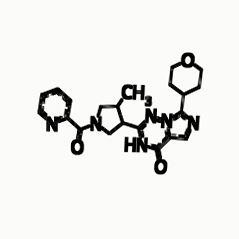 CC1CN(C(=O)c2ccccn2)CC1c1nn2c(C3CCOCC3)ncc2c(=O)[nH]1